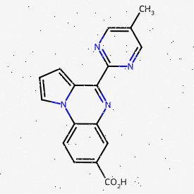 Cc1cnc(-c2nc3cc(C(=O)O)ccc3n3cccc23)nc1